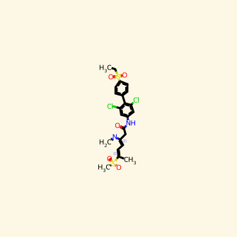 C=N/C(=C\C=C(/C)S(C)(=O)=O)CC(=O)Nc1cc(Cl)c(-c2ccc(S(=O)(=O)CC)cc2)c(Cl)c1